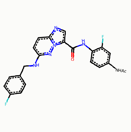 CC(=O)Nc1ccc(NC(=O)c2cnc3ccc(NCc4ccc(F)cc4)nn23)c(F)c1